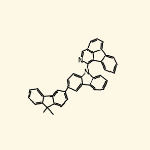 CC1(C)c2ccccc2-c2cc(-c3ccc4c(c3)c3ccccc3n4-c3ncc4cccc5c4c3-c3ccccc3-5)ccc21